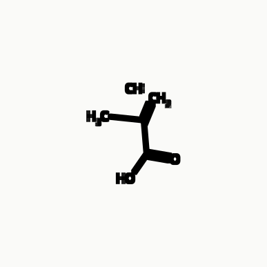 C=C(C)C(=O)O.[CH]